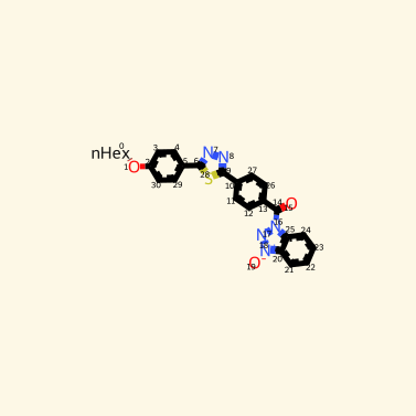 CCCCCCOc1ccc(-c2nnc(-c3ccc(C(=O)n4n[n+]([O-])c5ccccc54)cc3)s2)cc1